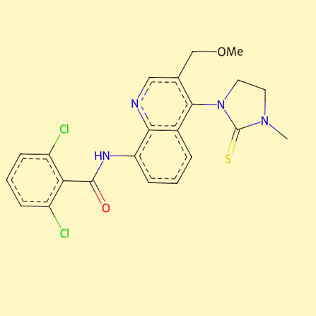 COCc1cnc2c(NC(=O)c3c(Cl)cccc3Cl)cccc2c1N1CCN(C)C1=S